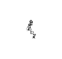 CC(C)(C)OC(=O)N1CCC(CSc2cc(S(=O)(=O)c3ccccc3)ccc2C(F)(F)F)CC1